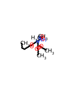 CCCCC/C=C\C/C=C\CCCCCCCC(=O)OCCCCCCN(CCCCC(COC(=O)CCCCCCC)COC(=O)CCCCCCC)CCCNc1c(N(C)C)c(=O)c1=O